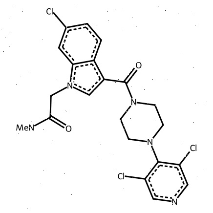 CNC(=O)Cn1cc(C(=O)N2CCN(c3c(Cl)cncc3Cl)CC2)c2ccc(Cl)cc21